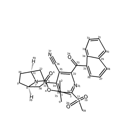 CC(C)(C)OC(=O)N1[C@@H]2CC[C@H]1CN(c1nc(S(C)(=O)=O)nc(C(=O)c3cccc4ccccc34)c1C#N)C2